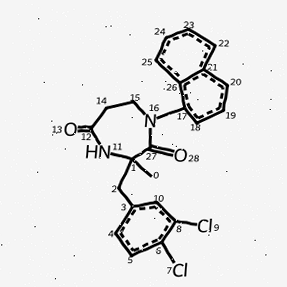 CC1(Cc2ccc(Cl)c(Cl)c2)NC(=O)CCN(c2cccc3ccccc23)C1=O